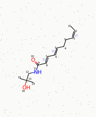 C/C=C\CC/C=C/C=C/C(=O)NCC(C)(C)O